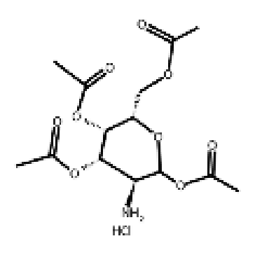 CC(=O)OC[C@@H]1OC(OC(C)=O)[C@@H](N)[C@H](OC(C)=O)[C@@H]1OC(C)=O.Cl